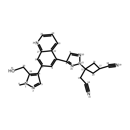 Cn1ncc(-c2cc(-c3cnn(C4(CC#N)CC(C#N)C4)n3)c3cccnc3c2)c1CO